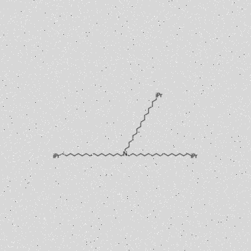 CC(C)CCCCCCCCCCCCCCCCN(CCCCCCCCCCCCCCCCC(C)C)CCCCCCCCCCCCCCCCC(C)C